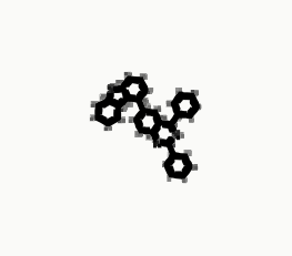 c1ccc(-c2nc(-c3ccccc3)c3cc(-c4cccc5sc6ccccc6c45)ccc3n2)cc1